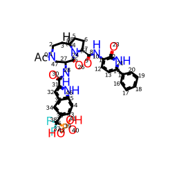 CC(=O)N1CC[C@H]2CC[C@@H](C(=O)Nc3ccc(-c4ccccc4)[nH]c3=O)N2C(=O)C(NC(=O)c2cc3cc(C(F)(F)P(=O)(O)O)ccc3[nH]2)C1